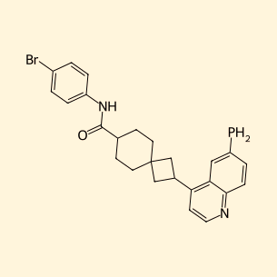 O=C(Nc1ccc(Br)cc1)C1CCC2(CC1)CC(c1ccnc3ccc(P)cc13)C2